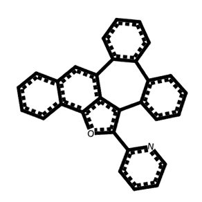 c1ccc(-c2oc3c4c(cc5ccccc53)-c3ccccc3-c3ccccc3-c24)nc1